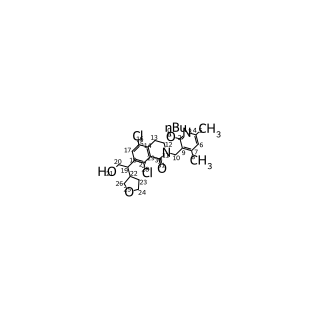 CCCCOc1nc(C)cc(C)c1CN1CCc2c(Cl)cc(C(CO)C3CCOC3)c(Cl)c2C1=O